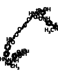 Cc1cnc(Nc2ccc(N3CCN(CC(=O)NCCOCCOCCOCCOCCC(=O)N[C@H](C(=O)N4C[C@H](O)C[C@H]4C(=O)NCc4ccc(-c5scnc5C)cc4)C(C)(C)C)CC3)cc2)nc1Nc1cccc(S(=O)(=O)NC(C)(C)C)c1